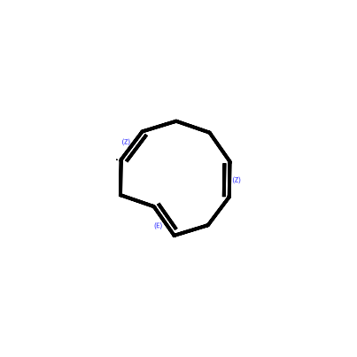 [C]1=C\CC/C=C\C/C=C/C/1